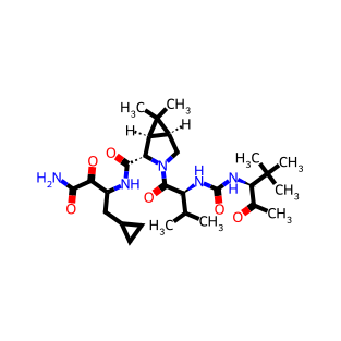 CC(=O)[C@@H](NC(=O)N[C@H](C(=O)N1C[C@H]2[C@@H]([C@H]1C(=O)NC(CC1CC1)C(=O)C(N)=O)C2(C)C)C(C)C)C(C)(C)C